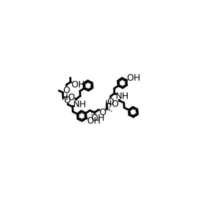 CC(O)COC(C)COCC(Cc1ccc(O)c(C[C@H](O)CO[C@@H](C)COCC(Cc2ccc(O)cc2)NC(O)CCc2ccccc2)c1)NC(O)CCc1ccccc1